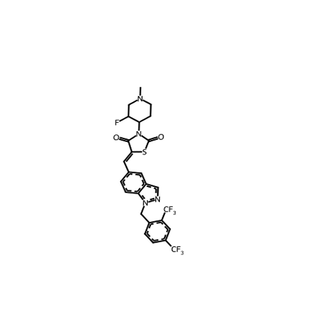 CN1CCC(N2C(=O)SC(=Cc3ccc4c(cnn4Cc4ccc(C(F)(F)F)cc4C(F)(F)F)c3)C2=O)C(F)C1